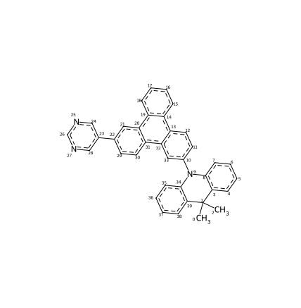 CC1(C)c2ccccc2N(c2ccc3c4ccccc4c4cc(-c5cncnc5)ccc4c3c2)c2ccccc21